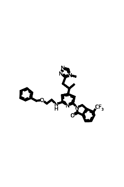 CC(Cc1nncn1C)c1cc(NCCOCc2ccccc2)nc(N2Cc3c(cccc3C(F)(F)F)C2=O)c1